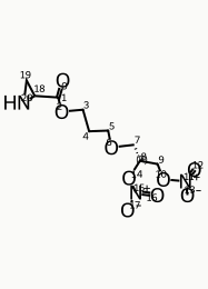 O=C(OCCCOC[C@H](CO[N+](=O)[O-])O[N+](=O)[O-])C1CN1